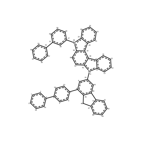 c1ccc(-c2ccc(-c3cc(-n4c5ccccc5c5c6c7ccccc7n(-c7cccc(-c8ccccc8)c7)c6ccc54)cc4c3Cc3ccccc3-4)cc2)cc1